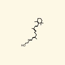 CC(C=CC1=C(C)CCCC1(C)C)=CCCC(C)=CC=NCCO